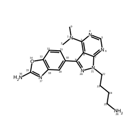 CN(C)c1ncnc2c1c(-c1ccc3oc(N)nc3c1)nn2CCCCN